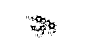 CCn1nc(S(=O)(=O)N(Cc2ccc(OC)cc2)Cc2ccc(OC)cc2)cc1CN1CCC1